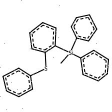 C[Si](c1ccccc1)(c1ccccc1)c1ccc[c]c1Sc1ccccc1